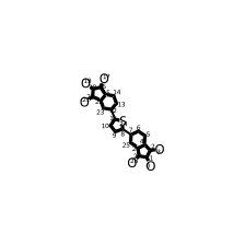 O=c1c(=O)c2ccc(-c3ccc(-c4ccc5c(=O)c(=O)c(=O)c5c4)s3)cc2c1=O